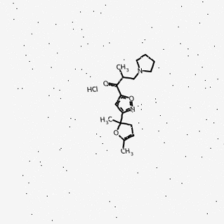 CC1=CCC(C)(c2cc(C(=O)C(C)CN3CCCC3)on2)O1.Cl